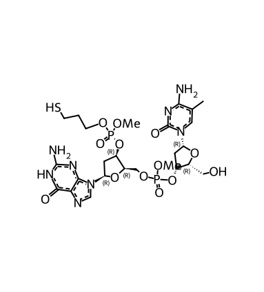 COP(=O)(OC[C@H]1O[C@@H](n2cnc3c(=O)[nH]c(N)nc32)C[C@H]1OP(=O)(OC)OCCCS)O[C@@H]1C[C@H](n2cc(C)c(N)nc2=O)O[C@@H]1CO